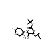 CC(C)C[C@H](NC(=O)OC(C)(C)C)C(=O)N[C@H]1CC[C@@H](C)NC[C@H]1O